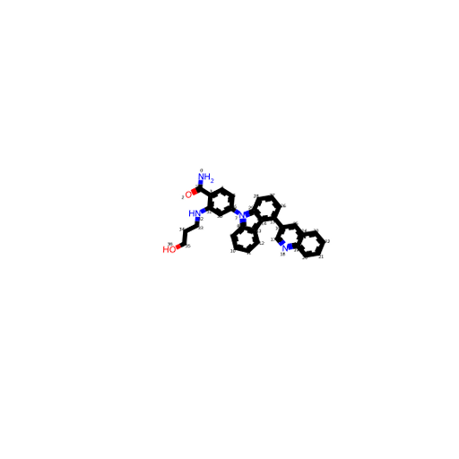 NC(=O)c1ccc(-n2c3ccccc3c3c(-c4cnc5ccccc5c4)cccc32)cc1NCCCO